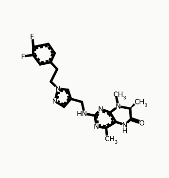 Cc1nc(NCc2cnn(CCc3ccc(F)c(F)c3)c2)nc2c1NC(=O)[C@H](C)N2C